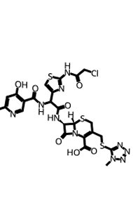 Cc1cc(O)c(C(=O)NC(C(=O)N[C@@H]2C(=O)N3C(C(=O)O)=C(CSc4nnnn4C)CS[C@@H]23)c2csc(NC(=O)CCl)n2)cn1